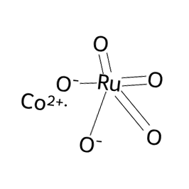 [Co+2].[O]=[Ru](=[O])(=[O])([O-])[O-]